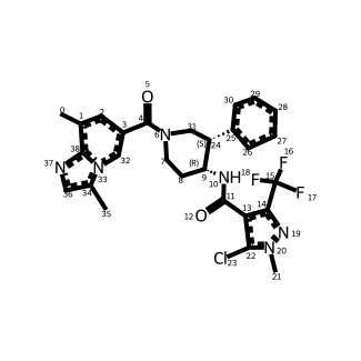 Cc1cc(C(=O)N2CC[C@@H](NC(=O)c3c(C(F)(F)F)nn(C)c3Cl)[C@@H](c3ccccc3)C2)cn2c(C)cnc12